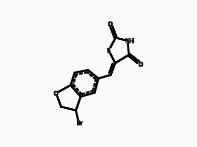 O=C1NC(=O)/C(=C/c2ccc3c(c2)C(Br)CO3)S1